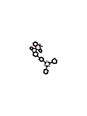 CC1(C)c2ccccc2C2(c3ccccc3-c3ccc(-c4ccc(-c5nc(-c6ccccc6)nc(-c6ccccc6)n5)cc4)cc32)c2ccccc21